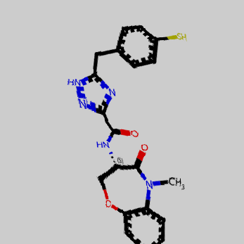 CN1C(=O)[C@@H](NC(=O)c2n[nH]c(Cc3ccc(S)cc3)n2)COc2ccccc21